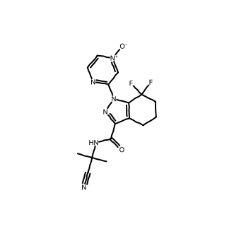 CC(C)(C#N)NC(=O)c1nn(-c2c[n+]([O-])ccn2)c2c1CCCC2(F)F